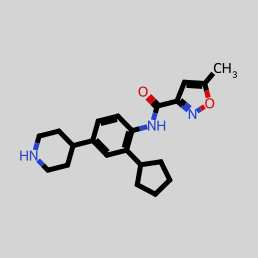 Cc1cc(C(=O)Nc2ccc(C3CCNCC3)cc2C2CCCC2)no1